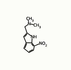 CN(C)Cc1cc2cccc([N+](=O)[O-])c2[nH]1